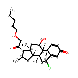 CCCCCOCC(=O)[C@H]1C(C)C[C@H]2[C@@H]3CC(Cl)C4=CC(=O)C=C[C@]4(C)[C@H]3C(O)C[C@]12C